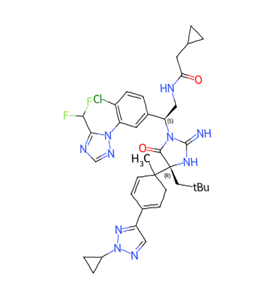 CC(C)(C)C[C@]1(C2(C)C=CC(c3cnn(C4CC4)n3)=CC2)NC(=N)N([C@H](CNC(=O)CC2CC2)c2ccc(Cl)c(-n3ncnc3C(F)F)c2)C1=O